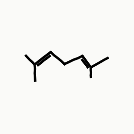 CC(C)=C[CH]C=C(C)C